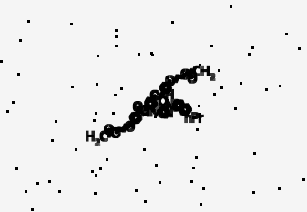 C=CC(=O)OCCCOc1ccc(C(=O)Oc2ccc(OC(=O)c3ccc(OCCCOC(=O)C=C)cc3)c(Nc3ccnc(Nc4ccc5ccc(CCC)cc5c4)c3)c2)cc1